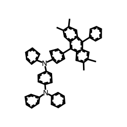 Cc1cc2c(-c3ccccc3)c3cc(C)c(C)cc3c(-c3ccc(N(c4ccccc4)c4ccc(N(c5ccccc5)c5ccccc5)cc4)cc3)c2cc1C